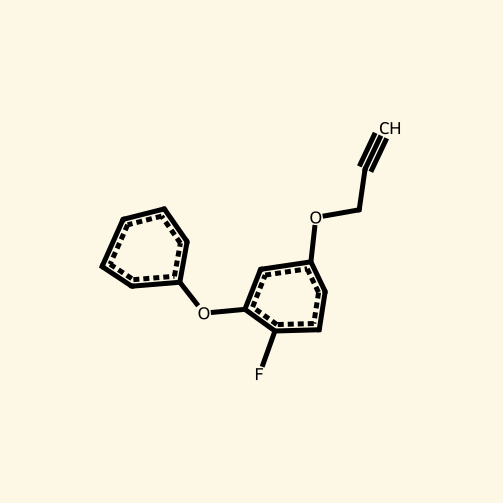 C#CCOc1ccc(F)c(Oc2ccccc2)c1